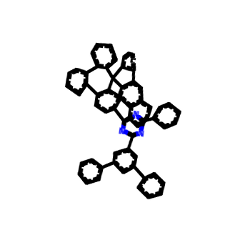 c1ccc(-c2cc(-c3ccccc3)cc(-c3nc(-c4ccccc4)nc(-c4ccc5c(c4)C4(c6ccccc6-c6ccccc6-5)c5ccccc5-c5cc6ccccc6cc54)n3)c2)cc1